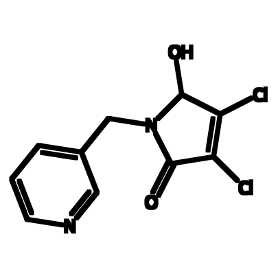 O=C1C(Cl)=C(Cl)C(O)N1Cc1cccnc1